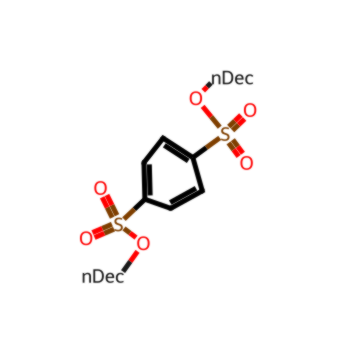 CCCCCCCCCCOS(=O)(=O)c1ccc(S(=O)(=O)OCCCCCCCCCC)cc1